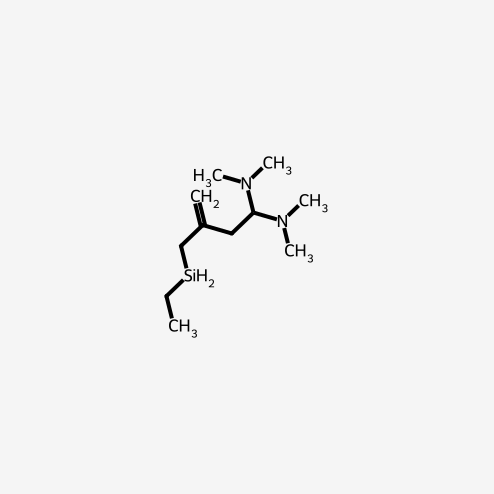 C=C(C[SiH2]CC)CC(N(C)C)N(C)C